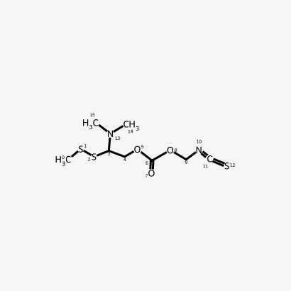 CSSC(COC(=O)OCN=C=S)N(C)C